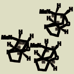 CN[C@@H]1[C@H]2[C@@H]3CCN2C[C@H]1O3.CN[C@@H]1[C@H]2[C@@H]3CCN2C[C@H]1O3.CN[C@@H]1[C@H]2[C@@H]3CCN2C[C@H]1O3